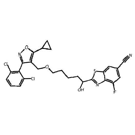 N#Cc1cc(F)c2nc(C(O)CCCCOCc3c(-c4c(Cl)cccc4Cl)noc3C3CC3)sc2c1